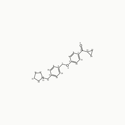 O=C(c1ccc(OCc2ccc(CN3CCCC3)cc2)cc1)C1CC1